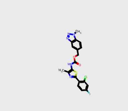 Cc1nc(-c2ccc(F)cc2Cl)sc1NC(=O)OCc1ccc2c(c1)nnn2C